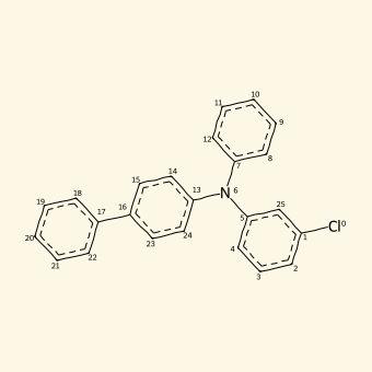 Clc1cccc(N(c2ccccc2)c2ccc(-c3ccccc3)cc2)c1